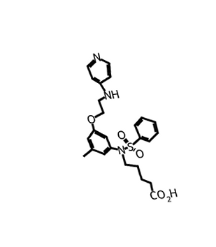 Cc1cc(OCCNc2ccncc2)cc(N(CCCCC(=O)O)S(=O)(=O)c2ccccc2)c1